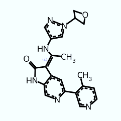 C/C(Nc1cnn(C2COC2)c1)=C1/C(=O)Nc2cnc(-c3cnccc3C)cc21